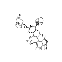 Cc1nc2[nH]nc(C)c2c(-c2c(F)cc3c(N4CC5CCC(C4)N5)nc(OC[C@@]45CCCN4C[C@H](F)C5)nc3c2F)c1C(F)(F)F